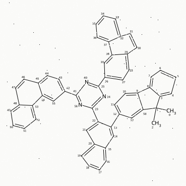 CC1(C)c2ccccc2-c2ccc(-c3cc4ccccc4cc3-c3nc(-c4ccc5ccc6ccccc6c5c4)nc(-c4ccc5ccc6ccccc6c5c4)n3)cc21